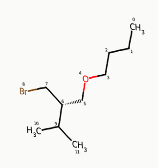 CCCCOC[C@@H](CBr)C(C)C